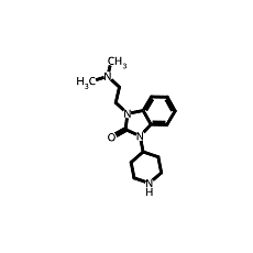 CN(C)CCn1c(=O)n(C2CCNCC2)c2ccccc21